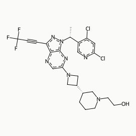 C[C@H](c1cnc(Cl)cc1Cl)n1nc(C#CC(F)(F)F)c2ncc(N3CC([C@H]4CCCN(CCO)C4)C3)nc21